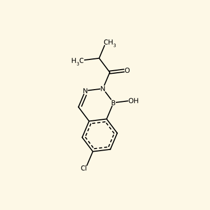 CC(C)C(=O)N1N=Cc2cc(Cl)ccc2B1O